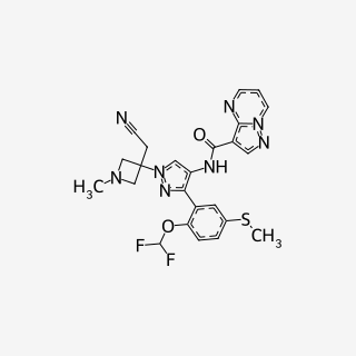 CSc1ccc(OC(F)F)c(-c2nn(C3(CC#N)CN(C)C3)cc2NC(=O)c2cnn3cccnc23)c1